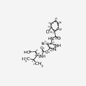 CC(C)[C@@H](CO)NC(=O)Oc1n[nH]c(NC(=O)c2ccccc2Cl)c1Br